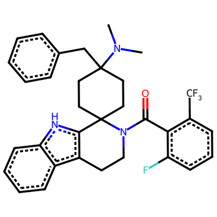 CN(C)C1(Cc2ccccc2)CCC2(CC1)c1[nH]c3ccccc3c1CCN2C(=O)c1c(F)cccc1C(F)(F)F